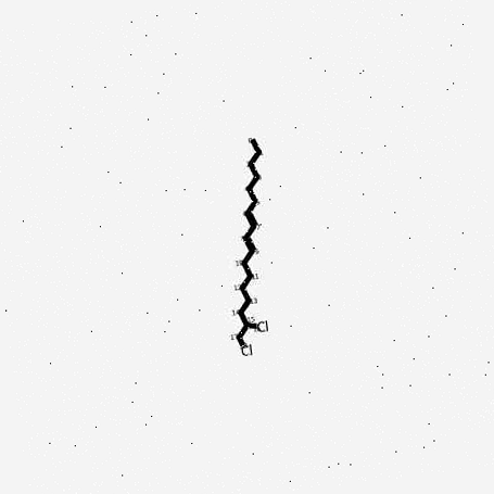 CCCCCCC=CC=CCCCCCC(Cl)CCl